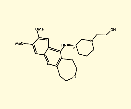 COc1cc2nc3c(c(N[C@@H]4CCCN(CCO)C4)c2cc1OC)CCOCC3